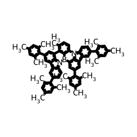 Cc1cc(C)c(-c2ccc3c(c2)c2cc(-c4c(C)cc(C)cc4C)cc4c2n3B2c3c(ccc(C)c3-4)-n3c4ccc(-c5c(C)cc(C)cc5C)cc4c4cc(-c5c(C)cc(C)cc5C)cc2c43)c(C)c1